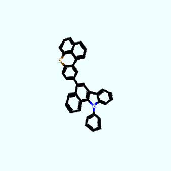 c1ccc(-n2c3ccccc3c3cc(-c4ccc5c(c4)-c4cccc6cccc(c46)S5)c4ccccc4c32)cc1